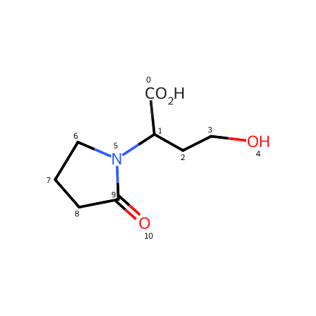 O=C(O)C(CCO)N1CCCC1=O